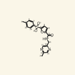 Cc1ccc(S(=O)(=O)c2ccc(C(=O)NCc3cnc(C)cn3)o2)cc1